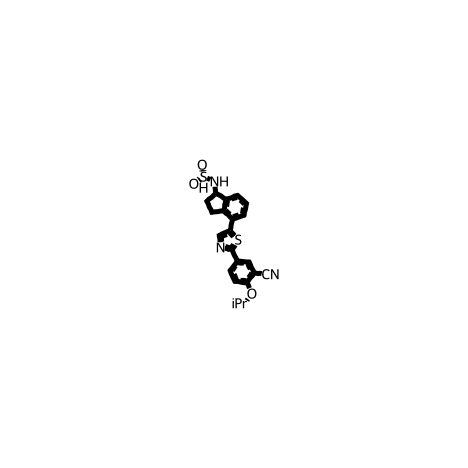 CC(C)Oc1ccc(-c2ncc(-c3cccc4c3CCC4N[SH](=O)=O)s2)cc1C#N